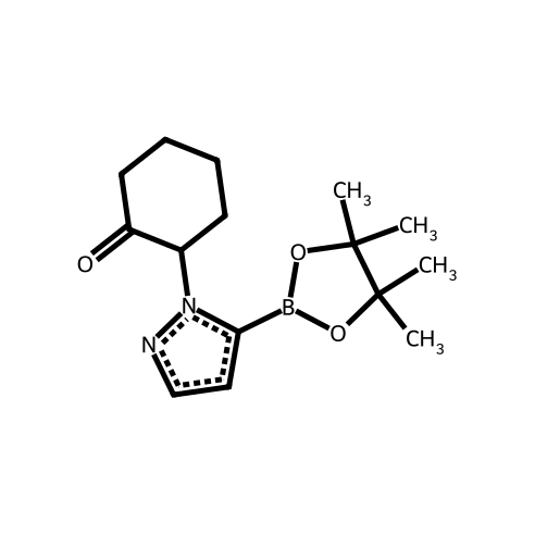 CC1(C)OB(c2ccnn2C2CCCCC2=O)OC1(C)C